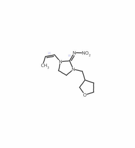 C/C=C\N1CCN(CC2CCOC2)/C1=N\[N+](=O)[O-]